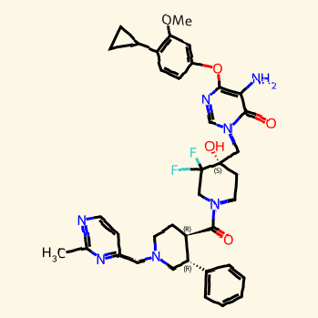 COc1cc(Oc2ncn(C[C@@]3(O)CCN(C(=O)[C@@H]4CCN(Cc5ccnc(C)n5)C[C@H]4c4ccccc4)CC3(F)F)c(=O)c2N)ccc1C1CC1